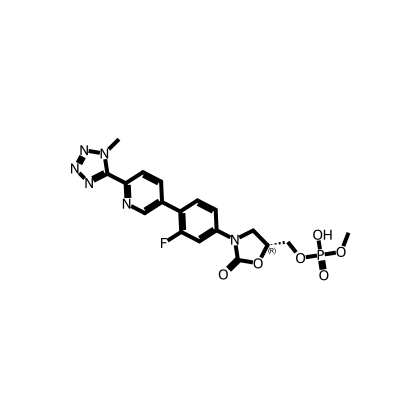 COP(=O)(O)OC[C@H]1CN(c2ccc(-c3ccc(-c4nnnn4C)nc3)c(F)c2)C(=O)O1